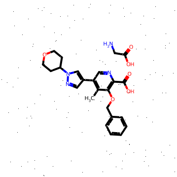 Cc1c(-c2cnn(C3CCOCC3)c2)cnc(C(=O)O)c1OCc1ccccc1.NCC(=O)O